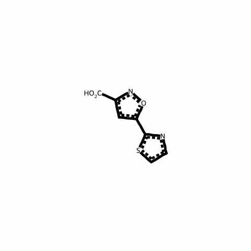 O=C(O)c1cc(-c2nccs2)on1